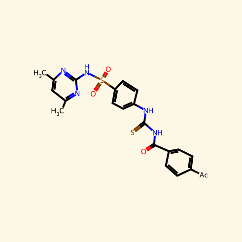 CC(=O)c1ccc(C(=O)NC(=S)Nc2ccc(S(=O)(=O)Nc3nc(C)cc(C)n3)cc2)cc1